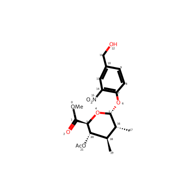 COC(=O)[C@H]1O[C@H](Oc2ccc(CO)cc2[N+](=O)[O-])[C@H](C)[C@@H](C)[C@@H]1OC(C)=O